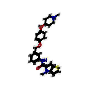 CN1CCC(OC2=CC=C(OCc3cccc(NC(=O)c4cc5sccc5n4C)c3)CC2)CC1